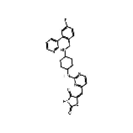 O=C1NC(=O)/C(=C\c2ccnc(NC3CCC(NCc4ccc(F)cc4-c4cccnc4)CC3)n2)S1